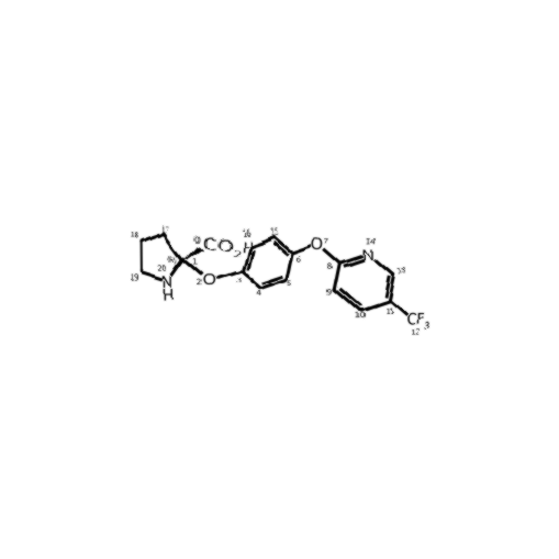 O=C(O)[C@]1(Oc2ccc(Oc3ccc(C(F)(F)F)cn3)cc2)CCCN1